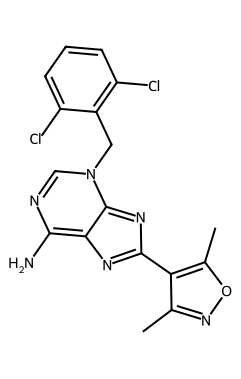 Cc1noc(C)c1-c1nc2c(N)ncn(Cc3c(Cl)cccc3Cl)c-2n1